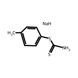 Cc1ccc(SC(N)=S)cc1.[NaH]